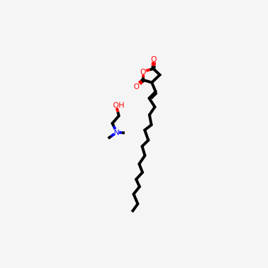 CCCCCCCCCCCCCCC=CC1CC(=O)OC1=O.CN(C)CCO